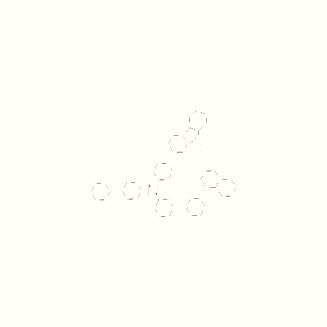 c1ccc(-c2ccc(N(c3ccc(-c4ccc5c(c4)sc4ccccc45)cc3)c3cccc(-c4cccc(-c5cccc6ccccc56)c4)c3)cc2)cc1